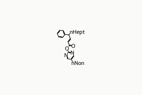 CCCCCCCCCc1cnc(OC(=O)/C=C/C(CCCCCCC)c2ccccc2)nc1